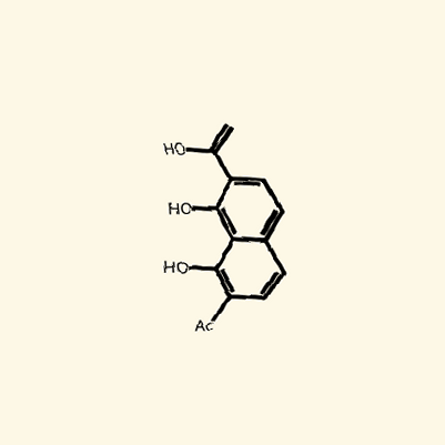 C=C(O)c1ccc2ccc(C(C)=O)c(O)c2c1O